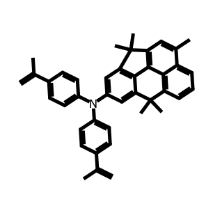 C=C(C)c1ccc(N(c2ccc(C(=C)C)cc2)c2cc3c4c(c2)C(C)(C)c2cccc5c(C)cc(c-4c25)C3(C)C)cc1